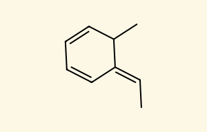 CC=C1C=CC=CC1C